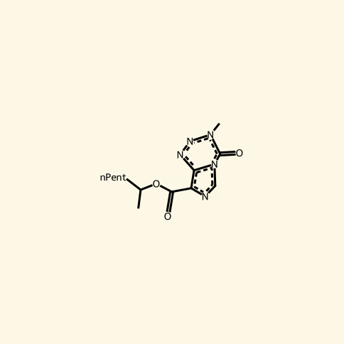 CCCCCC(C)OC(=O)c1ncn2c(=O)n(C)nnc12